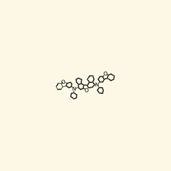 C1=CC2Oc3ccc(N(c4ccccc4)c4cc5oc6cc(N(c7ccccc7)c7ccc8oc9ccccc9c8c7)c7ccccc7c6c5c5ccccc45)cc3C2C=C1